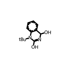 CC(C)(C)N1C(O)=NC(O)c2ccccc21